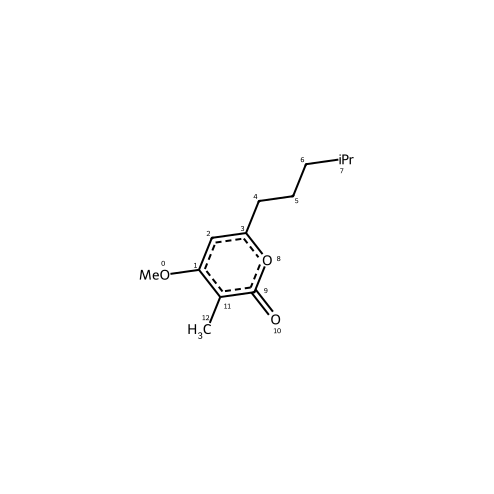 COc1cc(CCCC(C)C)oc(=O)c1C